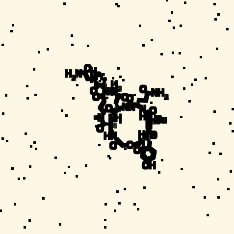 CC[C@H](C)[C@@H]1NC(=O)[C@H](Cc2ccc(O)cc2)NC(=O)CCC(=O)NC[C@@H](C(=O)N(C)CCCC(=O)N[C@@H](CC(C)C)C(=O)NCC(N)=O)NC(=O)[C@H](CC(N)=O)NC(=O)[C@H](CCC(N)=O)NC1=O